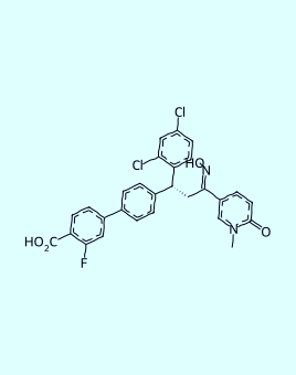 Cn1cc(/C(C[C@H](c2ccc(-c3ccc(C(=O)O)c(F)c3)cc2)c2ccc(Cl)cc2Cl)=N/O)ccc1=O